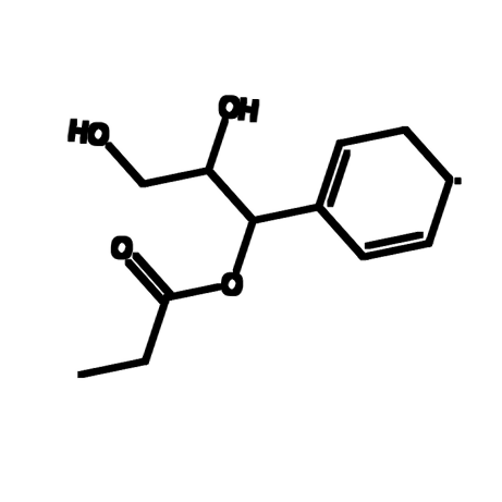 CCC(=O)OC(C1=CC[CH]C=C1)C(O)CO